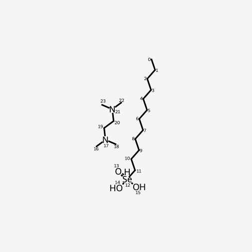 CCCCCCCCCCCC[SeH](=O)(O)O.CN(C)CCN(C)C